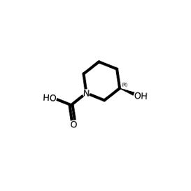 O=C(O)N1CCC[C@@H](O)C1